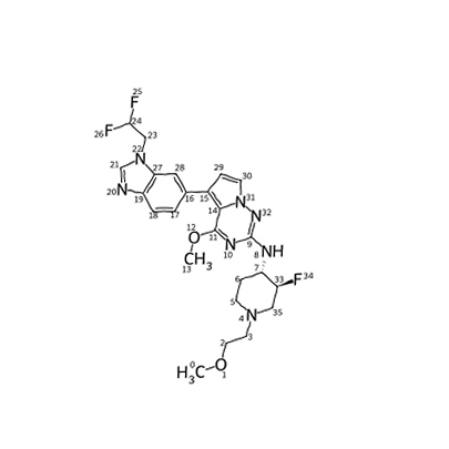 COCCN1CC[C@H](Nc2nc(OC)c3c(-c4ccc5ncn(CC(F)F)c5c4)ccn3n2)[C@@H](F)C1